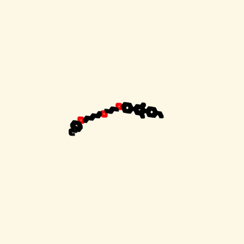 [CH2-][C+]1CCC(OCCCCCCOCCCCOC2CCC(c3cc(C)c(C4CCC(CC)CC4)c(C)c3)CC2)CC1